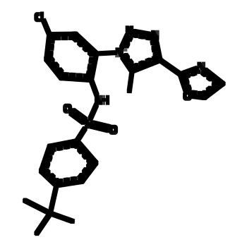 Cc1c(-c2ncco2)nnn1-c1cc(Cl)ccc1NS(=O)(=O)c1ccc(C(C)(C)C)cc1